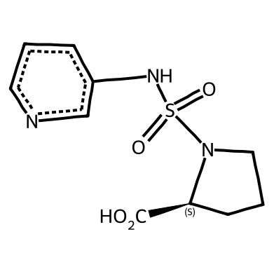 O=C(O)[C@@H]1CCCN1S(=O)(=O)Nc1cccnc1